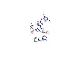 Cc1cc(C)n(Cc2nc(C3CN(C(=O)c4cnn(Cc5ccccc5)c4)CC34CN(C(=O)[C@H]3CC3(C)C)C4)no2)n1